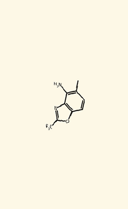 Cc1ccc2oc(C(F)(F)F)nc2c1N